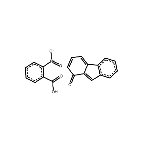 O=C(O)c1ccccc1[N+](=O)[O-].O=C1C=CC=C2C1=Cc1ccccc12